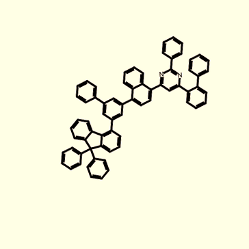 c1ccc(-c2cc(-c3cccc4c3-c3ccccc3C4(c3ccccc3)c3ccccc3)cc(-c3ccc(-c4cc(-c5ccccc5-c5ccccc5)nc(-c5ccccc5)n4)c4ccccc34)c2)cc1